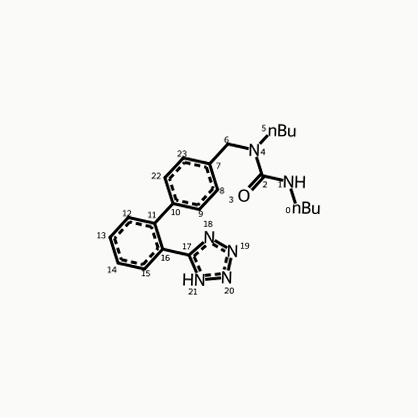 CCCCNC(=O)N(CCCC)Cc1ccc(-c2ccccc2-c2nnn[nH]2)cc1